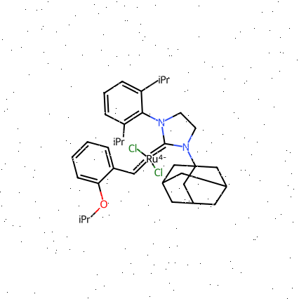 CC(C)Oc1ccccc1[CH]=[Ru-4]([Cl])([Cl])=[C]1N(c2c(C(C)C)cccc2C(C)C)CCN1C12CC3CC(CC(C3)C1)C2